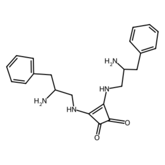 NC(CNc1c(NCC(N)Cc2ccccc2)c(=O)c1=O)Cc1ccccc1